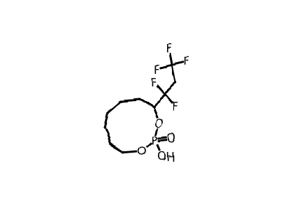 O=P1(O)OCCCCCCC(C(F)(F)CC(F)(F)F)O1